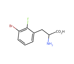 NC(Cc1cccc(Br)c1F)C(=O)O